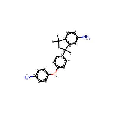 CC1(C)CC(C)(c2ccc(Oc3ccc(N)cc3)cc2)c2cc(N)ccc21